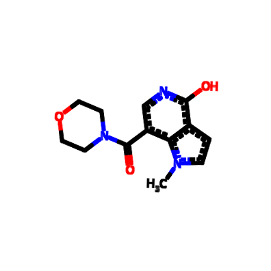 Cn1ccc2c(O)ncc(C(=O)N3CCOCC3)c21